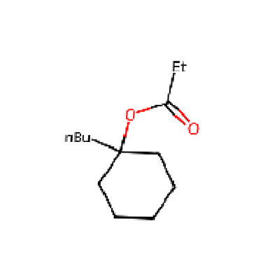 CCCCC1(OC(=O)CC)CCCCC1